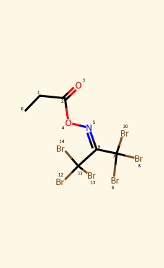 CCC(=O)ON=C(C(Br)(Br)Br)C(Br)(Br)Br